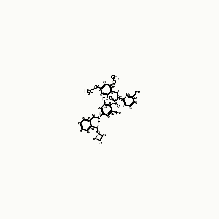 COc1ccc(CN(c2cccc(F)n2)S(=O)(=O)c2c(F)cc(NCc3ccccc3CN3CCC3)cc2F)c(OC)c1